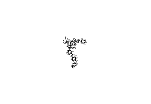 NC(=O)c1cc(-c2ccnc(C=Cc3ccc(CN4CCOCC4)cc3)c2)[nH]c1N1CCN(C(=O)OCc2ccccc2)CC1